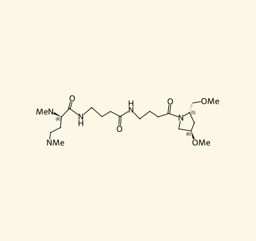 CNCC[C@@H](NC)C(=O)NCCCC(=O)NCCCC(=O)N1C[C@H](OC)C[C@H]1COC